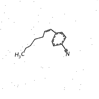 CCCCC/C=C\c1ccc(C#N)cc1